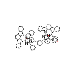 c1ccc(-c2nc(-c3ccccc3)nc(-n3c4ccccc4c4ccc5c6ccccc6n(-c6ccc7cc(-c8cccc(-c9nc(-c%10ccccc%10)nc(-n%10c%11ccccc%11c%11ccc%12c%13ccccc%13n(-c%13cc%14ccccc%14c%14ccccc%13%14)c%12c%11%10)n9)c8)ccc7c6)c5c43)n2)cc1